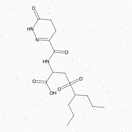 CCCC(CCC)S(=O)(=O)CC(NC(=O)C1=NNC(=O)CC1)C(=O)O